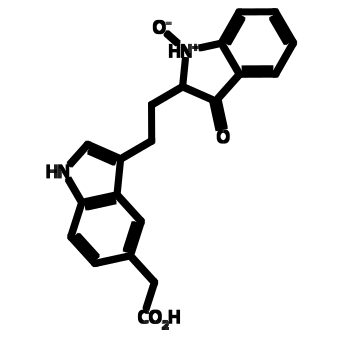 O=C(O)Cc1ccc2[nH]cc(CCC3C(=O)c4ccccc4[NH+]3[O-])c2c1